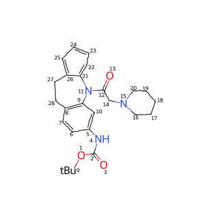 CC(C)(C)OC(=O)Nc1ccc2c(c1)N(C(=O)CN1CCCCC1)c1ccccc1CC2